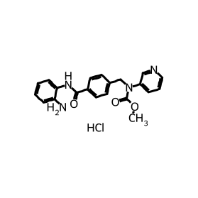 COC(=O)N(Cc1ccc(C(=O)Nc2ccccc2N)cc1)c1cccnc1.Cl